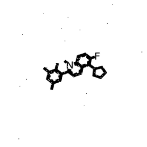 Cc1cc(C)c(C)c(-c2ccc3c(C4CCCC4)c(F)ccc3[n+]2C)c1